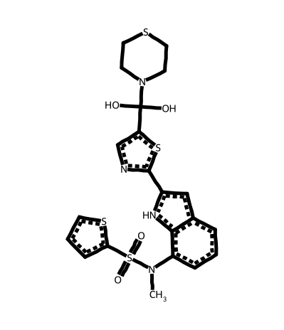 CN(c1cccc2cc(-c3ncc(C(O)(O)N4CCSCC4)s3)[nH]c12)S(=O)(=O)c1cccs1